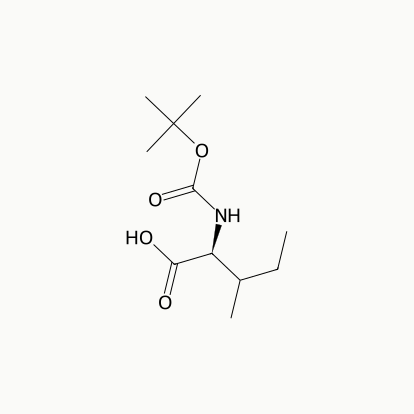 CCC(C)[C@H](NC(=O)OC(C)(C)C)C(=O)O